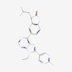 CCn1c(-c2cnc(C)nc2)nc2c(-c3ccc4c(c3)[C@@](C)(CC(C)C)C(=O)N4)ncnc21